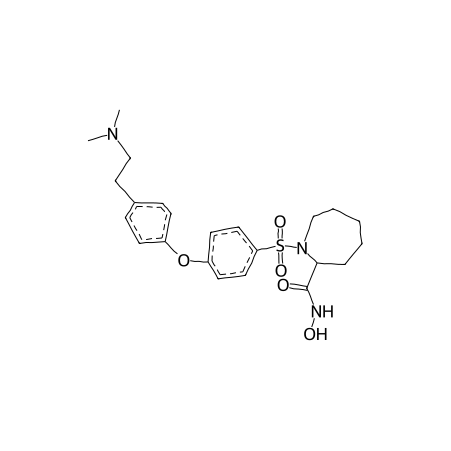 CN(C)CCc1ccc(Oc2ccc(S(=O)(=O)N3CCCCCC3C(=O)NO)cc2)cc1